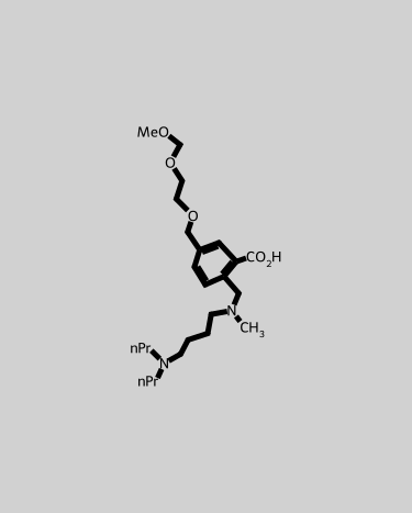 CCCN(CCC)CCCCN(C)Cc1ccc(COCCOCOC)cc1C(=O)O